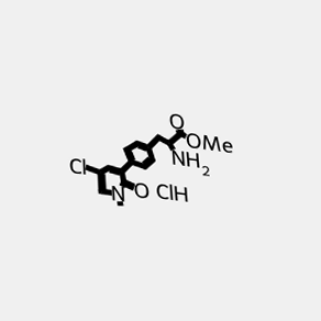 COC(=O)C(N)Cc1ccc(-c2cc(Cl)cn(C)c2=O)cc1.Cl